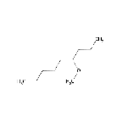 [CH2]CCC(CCCCC)OC